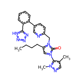 CCCCc1cn(-c2c(C)cnn2C)c(=O)n1Cc1ccc(-c2ccccc2-c2nnn[nH]2)cn1